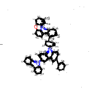 c1ccc(-c2ccc3c(c2)c2cc(-n4c5ccccc5c5ccccc54)ccc2n3-c2ccc(-c3cccc4c3c3cccc5c3n4-c3ccccc3O5)cc2)cc1